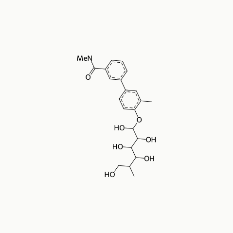 CNC(=O)c1cccc(-c2ccc(OC(O)C(O)C(O)C(O)C(C)CO)c(C)c2)c1